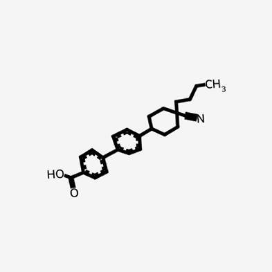 CCCCC1(C#N)CCC(c2ccc(-c3ccc(C(=O)O)cc3)cc2)CC1